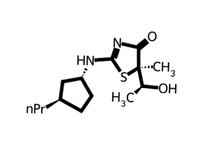 CCC[C@@H]1CC[C@@H](NC2=NC(=O)[C@@](C)([C@H](C)O)S2)C1